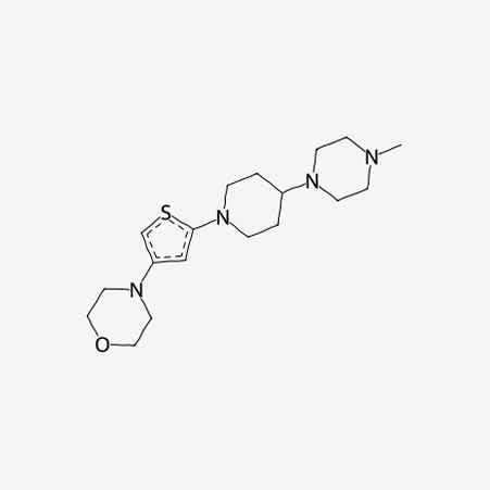 CN1CCN(C2CCN(c3cc(N4CCOCC4)cs3)CC2)CC1